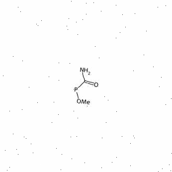 CO[P]C(N)=O